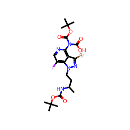 CC(CCn1nc(Br)c2c(N(C(=O)O)C(=O)OC(C)(C)C)ncc(I)c21)NC(=O)OC(C)(C)C